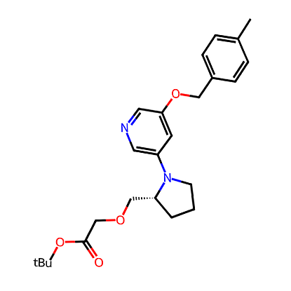 Cc1ccc(COc2cncc(N3CCC[C@@H]3COCC(=O)OC(C)(C)C)c2)cc1